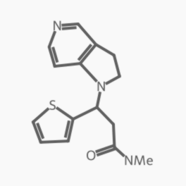 CNC(=O)CC(c1cccs1)N1CCc2cnccc21